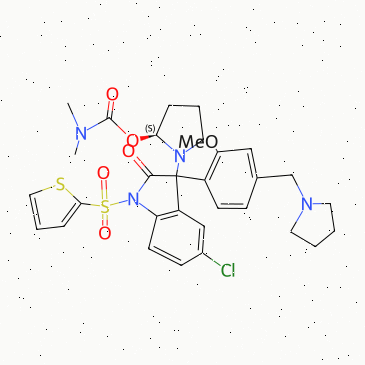 COc1cc(CN2CCCC2)ccc1C1(N2CCC[C@@H]2OC(=O)N(C)C)C(=O)N(S(=O)(=O)c2cccs2)c2ccc(Cl)cc21